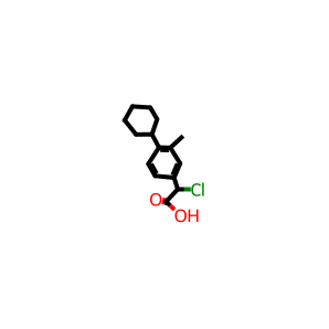 Cc1cc(C(Cl)C(=O)O)ccc1C1CCCCC1